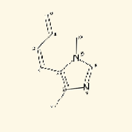 C=C/C=C\c1c(C)ncn1C